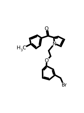 Cc1ccc(C(=O)c2cccn2CCOc2cccc(CBr)c2)cc1